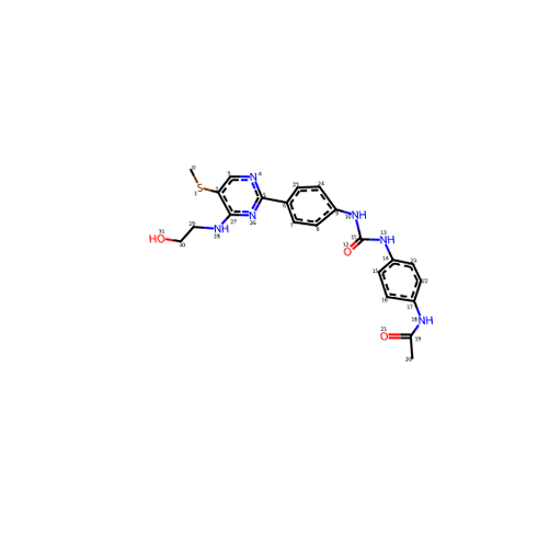 CSc1cnc(-c2ccc(NC(=O)Nc3ccc(NC(C)=O)cc3)cc2)nc1NCCO